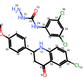 COc1ccc(C2CC(=O)c3cc(Cl)ccc3N2)cc1.NNC(=O)Nc1cc(Cl)cc(Cl)c1